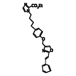 CCOC(=O)c1nccn1CCCCc1ccc(OCc2coc(C=Cc3ccccc3)n2)cc1